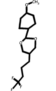 COC1CCC(C2OCC(CCCC(F)(F)F)CO2)CC1